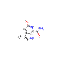 Cc1c[nH]c2c(C(N)=O)nc(O)cc12